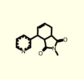 CN1C(=O)C2CC=CC(c3cccnc3)C2C1=O